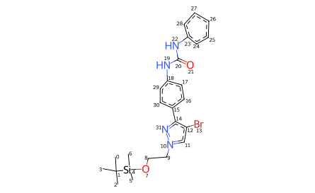 CC(C)(C)[Si](C)(C)OCCn1cc(Br)c(-c2ccc(NC(=O)Nc3ccccc3)cc2)n1